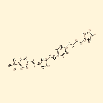 FC(F)(F)c1ccc(/C=C/c2nc(COc3cnc(CCCCn4ccnn4)nc3)co2)cc1